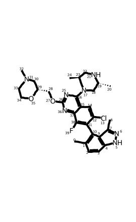 Cc1ccc2[nH]nc(C)c2c1-c1c(Cl)cc2c(N3C[C@@H](C)NC[C@@H]3C)nc(OC[C@H]3CN(C)CCO3)nc2c1F